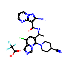 CC(NC(=O)c1c(N)nn2cccnc12)c1cc(Cl)c2cncn2c1N1CCC(C#N)CC1.O=C(O)C(F)(F)F